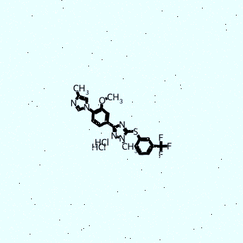 COc1cc(-c2nc(Sc3cccc(C(F)(F)F)c3)n(C)n2)ccc1-n1cnc(C)c1.Cl.Cl